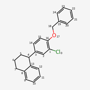 Clc1cc(C2CCCc3ccccc32)ccc1OCc1ccccc1